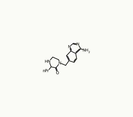 CCCC1NCCN(Cc2ccc3c(N)ncnc3c2)C1=O